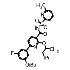 Cc1cccc(S(=O)(=O)NC(=O)c2ccc(-c3cc(F)cc(OCC(C)C)c3)nc2OC(C)CC(C)C)n1